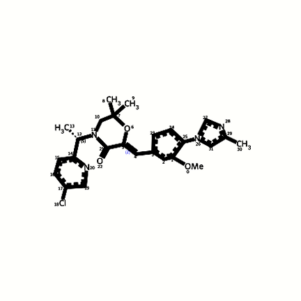 COc1cc(/C=C2\OC(C)(C)CN([C@@H](C)c3ccc(Cl)cn3)C2=O)ccc1-n1cnc(C)c1